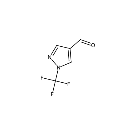 O=Cc1cnn(C(F)(F)F)c1